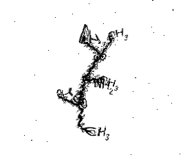 CCCCCCCCC(CCCCCC)C(=O)OCCCCCCN(CCCCCCOC(=O)C(CCCCCCC)CCCCCCCC)CCC(N)CC